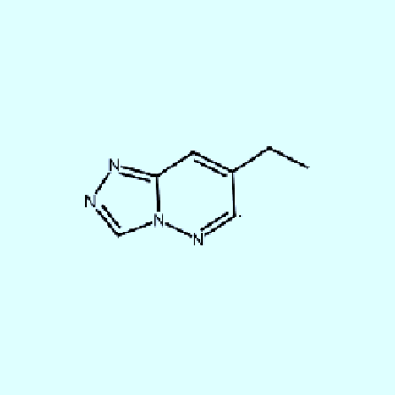 CCc1[c]nn2cnnc2c1